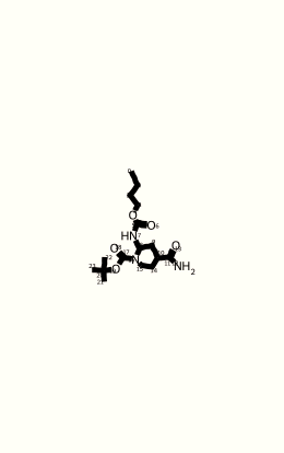 CCCCOC(=O)NC1CC(C(N)=O)CCN1C(=O)OC(C)(C)C